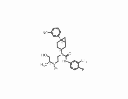 CC(C)N(CCN(C(=O)Nc1ccc(F)c(C(F)(F)F)c1)[C@H]1CC[C@]2(c3cccc(C#N)c3)CC2C1)[C@@H](C)CO